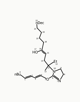 CCCCC=CC=COC1=NCCN1C(C)(CC)CC=C(O)CCCCCCCCCCCCCC